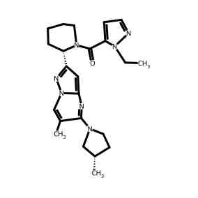 CCn1nccc1C(=O)N1CCCC[C@H]1c1cc2nc(N3CC[C@H](C)C3)c(C)cn2n1